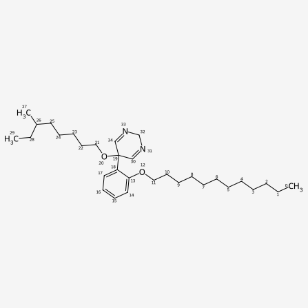 CCCCCCCCCCCCOc1ccccc1C1(OCCCCCC(C)CC)C=NCN=C1